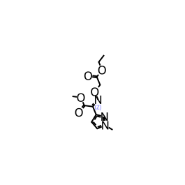 CCOC(=O)CO/N=C(\C(=O)OC)c1ccn(C)n1